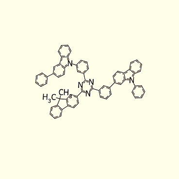 CC1(C)c2ccccc2-c2ccc(-c3nc(-c4cccc(-c5ccc6c7ccccc7n(-c7ccccc7)c6c5)c4)nc(-c4cccc(-n5c6ccccc6c6cc(-c7ccccc7)ccc65)c4)n3)cc21